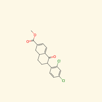 COC(=O)C1=CC=C2C(=O)C(c3ccc(Cl)cc3Cl)CCC2C1